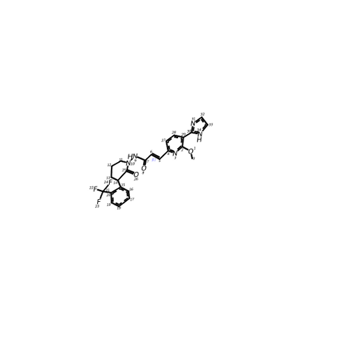 COc1nc(/C=C/C(=O)NN2CCCC(c3ccccc3C(F)(F)F)C2=O)ccc1-c1ncc[nH]1